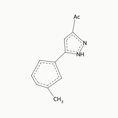 CC(=O)c1cc(-c2cccc(C)c2)[nH]n1